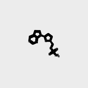 NS(=O)(=O)OC[C@@H]1CC[C@H](n2ccc3cncnc32)O1